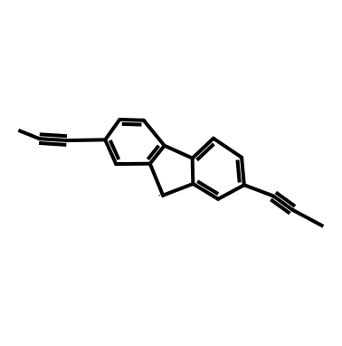 CC#Cc1ccc2c(c1)[CH]c1cc(C#CC)ccc1-2